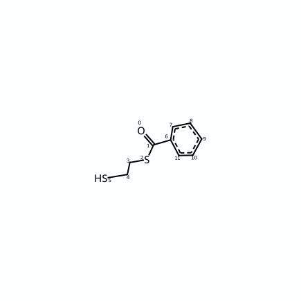 O=C(SCCS)c1ccccc1